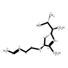 C[C@@H](O)[C@@H](C(=O)O)[C@H]1C[C@H](SCCN=CN)C(C(=O)O)=N1